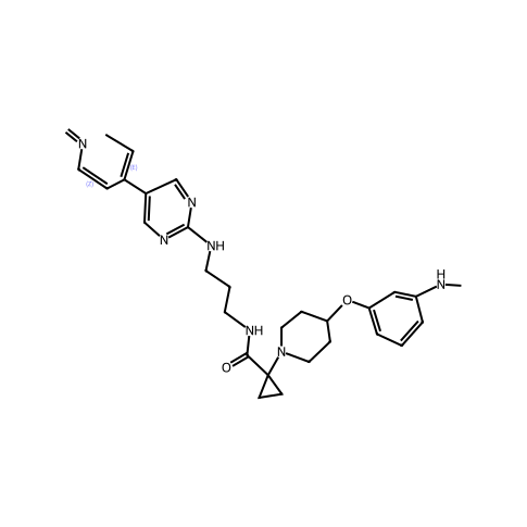 C=N/C=C\C(=C/C)c1cnc(NCCCNC(=O)C2(N3CCC(Oc4cccc(NC)c4)CC3)CC2)nc1